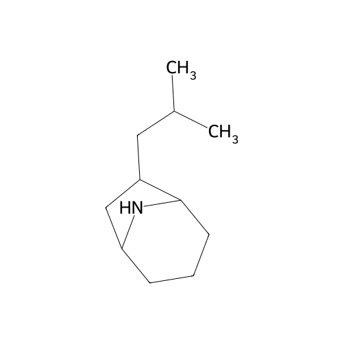 CC(C)CC1CC2CCCC1N2